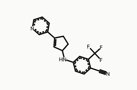 N#Cc1ccc(NC2C=C(c3cccnc3)CC2)cc1C(F)(F)F